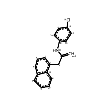 C=C(Cc1cccc2ccccc12)Nc1ccc(Cl)cc1